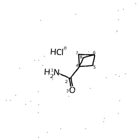 Cl.NC(=O)C12CC(C1)C2